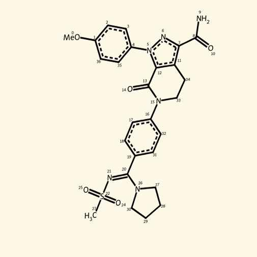 COc1ccc(-n2nc(C(N)=O)c3c2C(=O)N(c2ccc(C(=NS(C)(=O)=O)N4CCCC4)cc2)CC3)cc1